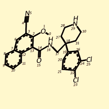 COc1c(C#N)cc2ccccc2c1C(=O)NCC1(c2ccc(Cl)c(Cl)c2)CCNCC1